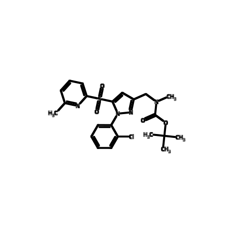 Cc1cccc(S(=O)(=O)c2cc(CN(C)C(=O)OC(C)(C)C)nn2-c2ccccc2Cl)n1